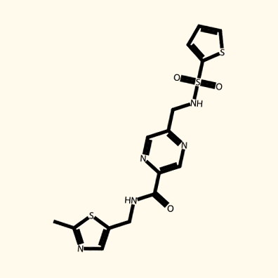 Cc1ncc(CNC(=O)c2cnc(CNS(=O)(=O)c3cccs3)cn2)s1